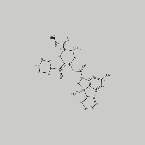 C[C@@H]1CN(CC(=O)N2CC(C)(c3ccccc3)c3ccc(C#N)cc32)[C@@H](C(=O)N2CCOCC2)CN1C(=O)OC(C)(C)C